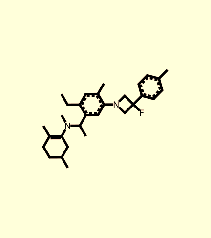 CCc1cc(C)c(N2CC(F)(c3ccc(C)cc3)C2)cc1C(C)N(C)C1=C(C)CCC(C)C1